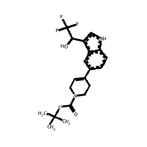 CC(C)(C)OC(=O)N1CC=C(c2ccc3[nH]cc(C(O)C(F)(F)F)c3c2)CC1